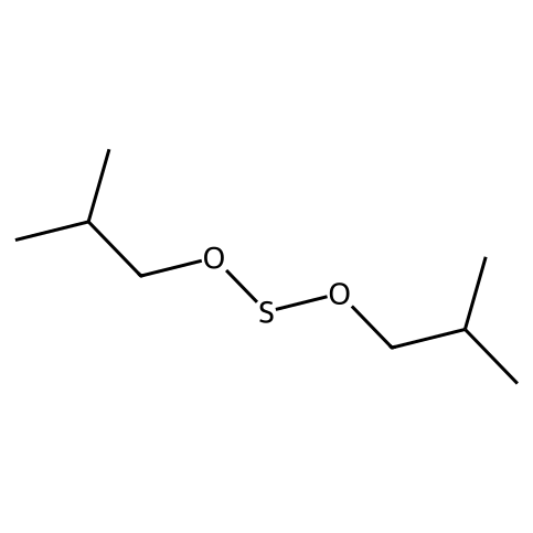 CC(C)COSOCC(C)C